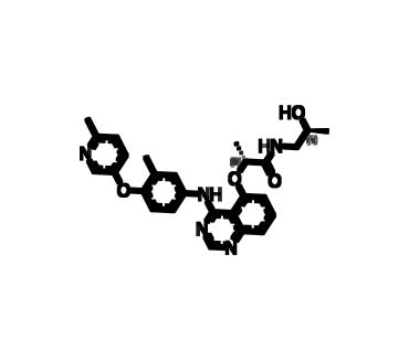 Cc1ccc(Oc2ccc(Nc3ncnc4cccc(O[C@H](C)C(=O)NC[C@H](C)O)c34)cc2C)cn1